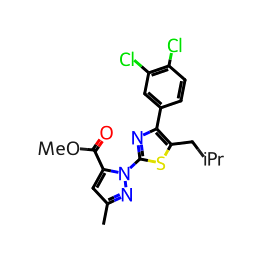 COC(=O)c1cc(C)nn1-c1nc(-c2ccc(Cl)c(Cl)c2)c(CC(C)C)s1